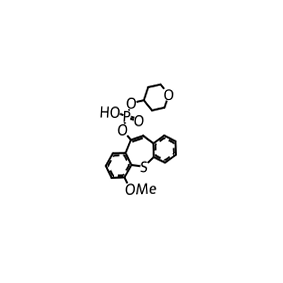 COc1cccc2c1Sc1ccccc1C=C2OP(=O)(O)OC1CCOCC1